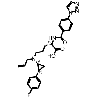 C=CCN(CCC[C@H](NC(=O)c1ccc(-n2ccnn2)cc1)C(=O)O)[C@@H]1C[C@H]1c1ccc(F)cc1